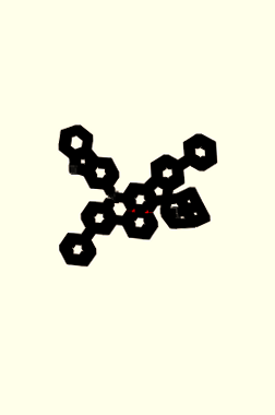 C1=Cc2oc3cc(N(c4ccc5c(c4)-c4ccc(-c6ccccc6)cc4C54C5CC6CC7CC4C67C5)c4ccc(-c5ccccc5)cc4-c4ccccc4)ccc3c2CC1